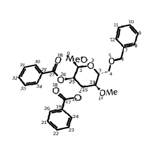 CO[C@H]1O[C@H](COCc2ccccc2)[C@@H](OC)[C@H](OC(=O)c2ccccc2)[C@H]1OC(=O)c1ccccc1